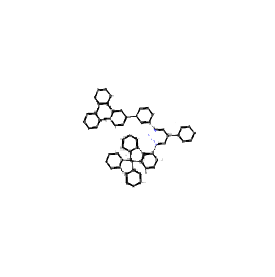 c1ccc(-c2cc(-c3cccc(-c4ccc5c6ccccc6c6ccccc6c5c4)c3)nc(-c3cccc4c3-c3ccccc3C43c4ccccc4-c4ccccc43)c2)cc1